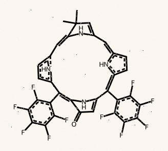 CC1(C)C=C2C=c3ccc([nH]3)=C(c3c(F)c(F)c(F)c(F)c3F)C3=CC(=O)C(=C(c4c(F)c(F)c(F)c(F)c4F)c4ccc([nH]4)C=C1N2)N3